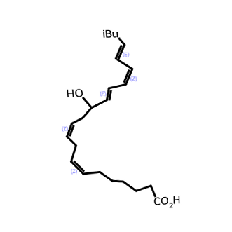 CCC(C)/C=C/C=C\C=C\C(O)C/C=C\C/C=C\CCCCCC(=O)O